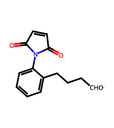 O=[C]CCCc1ccccc1N1C(=O)C=CC1=O